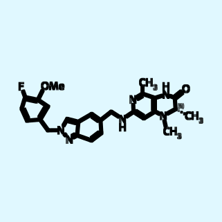 COc1cc(Cn2cc3cc(CNc4cc5c(c(C)n4)NC(=O)[C@H](C)N5C)ccc3n2)ccc1F